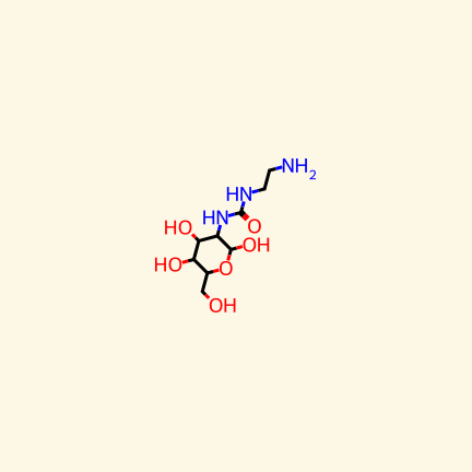 NCCNC(=O)NC1C(O)OC(CO)C(O)C1O